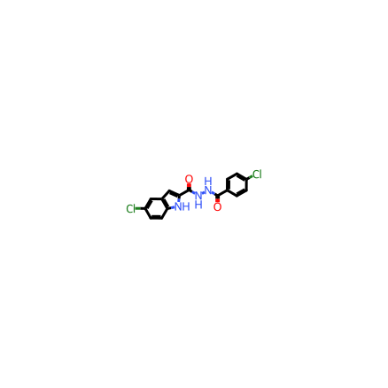 O=C(NNC(=O)c1cc2cc(Cl)ccc2[nH]1)c1ccc(Cl)cc1